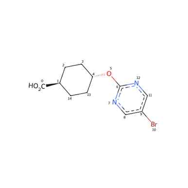 O=C(O)[C@H]1CC[C@H](Oc2ncc(Br)cn2)CC1